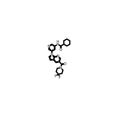 O=C(Nc1cncc(-n2ccc3cc(C(=O)N4CCC(F)(F)CC4)cnc32)c1)C1CCCCC1